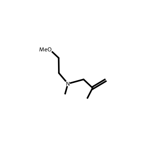 C=C(C)CN(C)CCOC